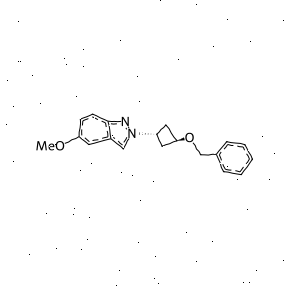 COc1ccc2nn([C@H]3C[C@H](OCc4ccccc4)C3)cc2c1